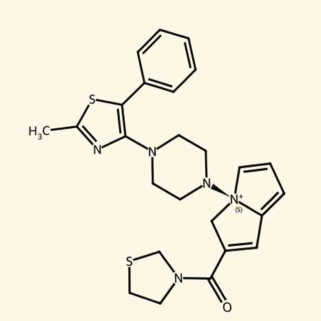 Cc1nc(N2CCN([N@@+]34C=CC=C3C=C(C(=O)N3CCSC3)C4)CC2)c(-c2ccccc2)s1